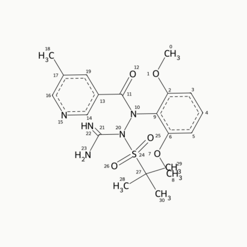 COc1cccc(OC)c1N(C(=O)c1cncc(C)c1)N(C(=N)N)S(=O)(=O)C(C)(C)C